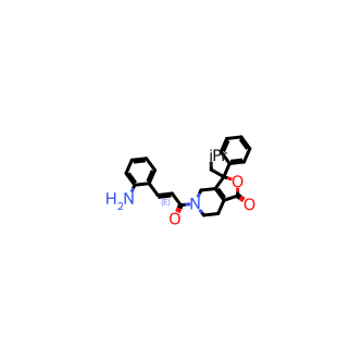 CC(C)CC1(c2ccccc2)OC(=O)C2=C1CN(C(=O)/C=C/c1ccccc1N)CC2